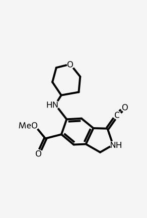 COC(=O)c1cc2c(cc1NC1CCOCC1)C(=C=O)NC2